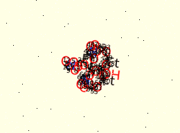 CCC(CC(=O)ON1C(=O)CCC1=O)OCCC(C)(CC)OCC(CO)(COC(C)(CC)CCOC(C)(C)CC(=O)ON1C(=O)CCC1=O)COC(C)(CC)CCOC(C)(C)CC(=O)ON1C(=O)CCC1=O